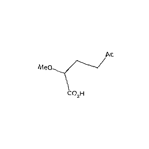 COC(CCC(C)=O)C(=O)O